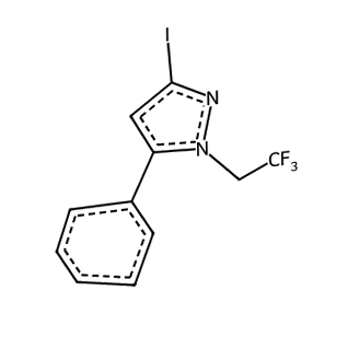 FC(F)(F)Cn1nc(I)cc1-c1ccccc1